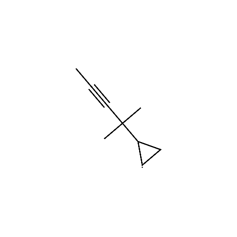 CC#CC(C)(C)C1[CH]C1